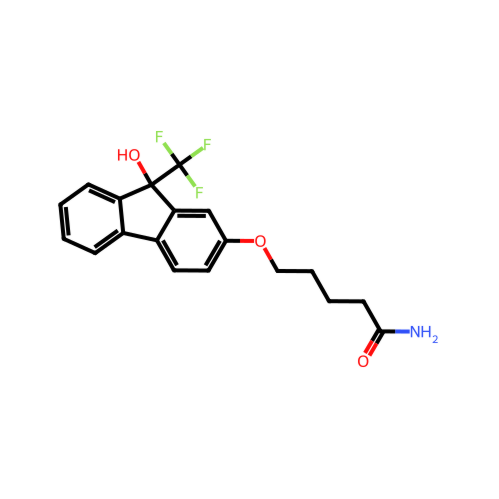 NC(=O)CCCCOc1ccc2c(c1)C(O)(C(F)(F)F)c1ccccc1-2